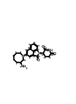 NC1CCCCCN(c2cc3c4c(cccc4c2)N(C2CCC(=O)NC2=O)C3=O)C1